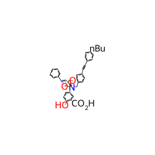 CCCCc1ccc(C#Cc2ccc(CN(c3ccc(O)c(C(=O)O)c3)S(=O)(=O)/C=C/c3ccccc3)cc2)cc1